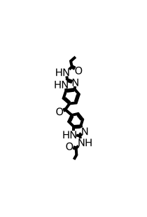 CCC(=O)Nc1nc2ccc(C(=O)c3ccc4nc(NC(=O)CC)[nH]c4c3)cc2[nH]1